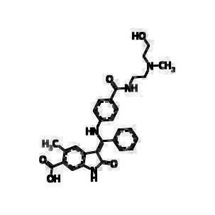 Cc1cc2c(cc1C(=O)O)NC(=O)/C2=C(/Nc1ccc(C(=O)NCCN(C)CCO)cc1)c1ccccc1